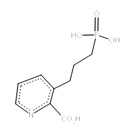 O=C(O)c1ncccc1CCCP(=O)(O)O